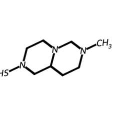 CN1CCC2CN(S)CCN2C1